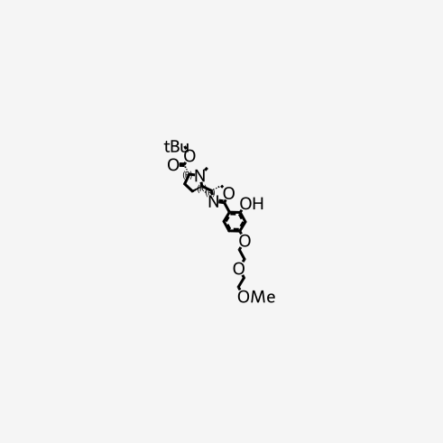 COCCOCCOc1ccc(C2=N[C@H]([C@H]3CC[C@H](C(=O)OC(C)(C)C)N3C)CO2)c(O)c1